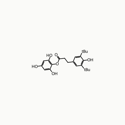 CC(C)(C)c1cc(CCC(=O)Oc2c(O)cc(O)cc2O)cc(C(C)(C)C)c1O